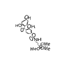 CO[Si](CCCNC(=O)Oc1ccc(C(=O)c2ccc(O)cc2O)c(O)c1)(OC)OC